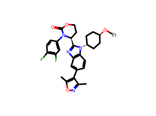 CCO[C@H]1CC[C@H](n2c([C@@H]3CCOC(=O)N3c3ccc(F)c(F)c3)nc3cc(-c4c(C)noc4C)ccc32)CC1